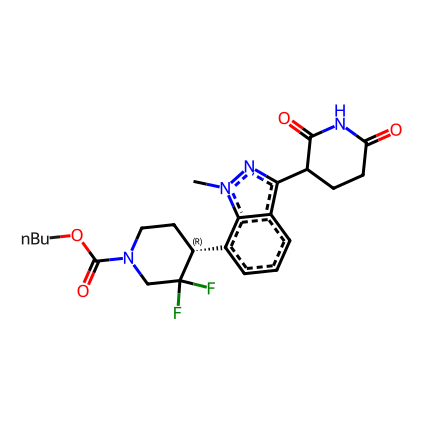 CCCCOC(=O)N1CC[C@H](c2cccc3c(C4CCC(=O)NC4=O)nn(C)c23)C(F)(F)C1